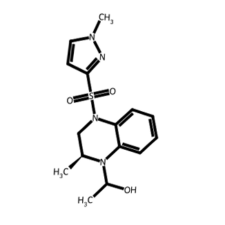 CC(O)N1c2ccccc2N(S(=O)(=O)c2ccn(C)n2)C[C@@H]1C